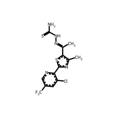 CC(=NNC(N)=S)c1sc(-c2ncc(C(F)(F)F)cc2Cl)nc1C